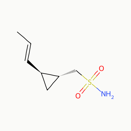 C/C=C/[C@@H]1C[C@H]1CS(N)(=O)=O